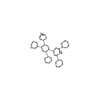 c1ccc(-c2cc(-c3cc(-c4ccncc4)c(-c4ccccc4)cc3-c3ccccc3)cc(-c3ccccc3)n2)cc1